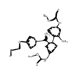 C=C(c1ccc(OCCF)cc1)c1cc(NC(=O)OC(C)(C)C)ccc1-c1ccc(NC(=O)OC(C)(C)C)cc1C